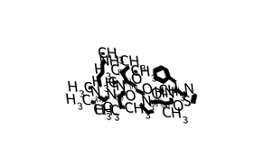 CC[C@H](C)[C@@H]([C@@H](CC(=O)N1CCC[C@H]1[C@H](OC)[C@@H](C)C(=O)N[C@@H](Cc1ccccc1)c1nccs1)OC)N(C)C(=O)[C@@H](NC(=O)[C@H](C(C)C)N(C)CCCCNC)C(C)C